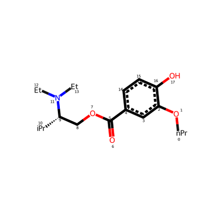 CCCOc1cc(C(=O)OC[C@H](C(C)C)N(CC)CC)ccc1O